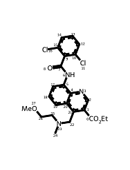 CCOC(=O)c1cnc2c(NC(=O)c3c(Cl)cccc3Cl)cccc2c1CN(C)CCOC